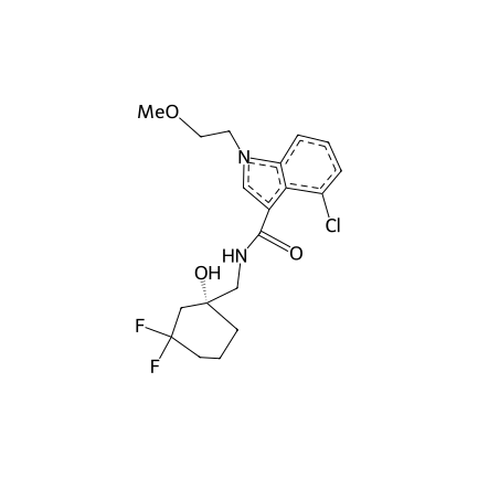 COCCn1cc(C(=O)NC[C@@]2(O)CCCC(F)(F)C2)c2c(Cl)cccc21